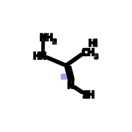 C/C(=N\S)NN.I